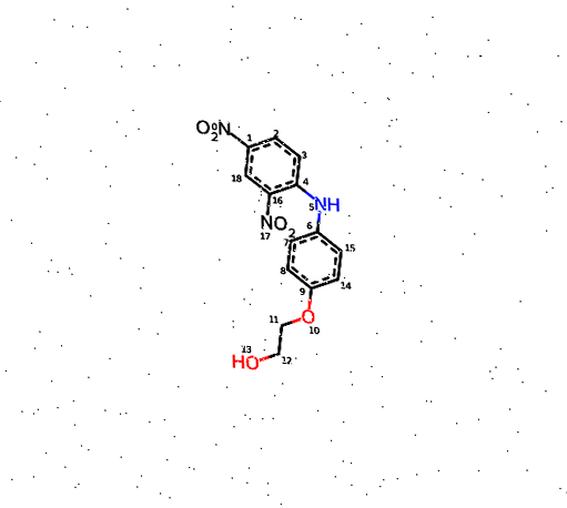 O=[N+]([O-])c1ccc(Nc2ccc(OCCO)cc2)c([N+](=O)[O-])c1